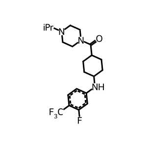 CC(C)N1CCN(C(=O)C2CCC(Nc3ccc(C(F)(F)F)c(F)c3)CC2)CC1